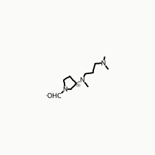 CN(C)CCCN(C)[C@H]1CCN([C]=O)C1